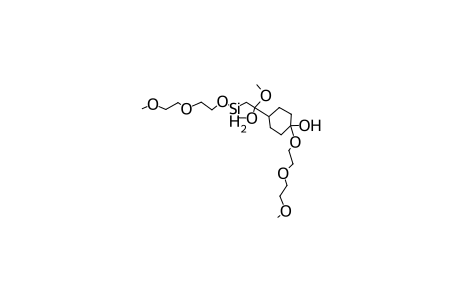 COCCOCCO[SiH2]CC(OC)(OC)C1CCC(O)(OCCOCCOC)CC1